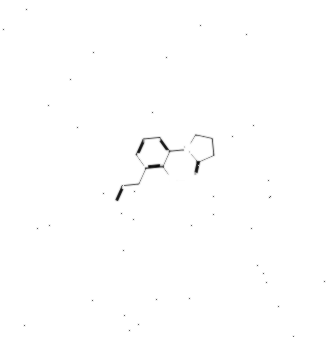 C=CCc1cccc(N2CCCC2=O)c1O